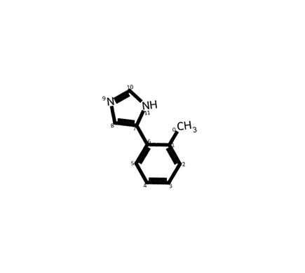 Cc1ccccc1-c1cnc[nH]1